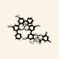 CC(C)(C)c1cc(-c2cc(C(C)(C)C)cc([Si](C)(C)C)c2Op2oc3c(-c4ccccc4)cc(C(C)(C)C)cc3c3cc(C(C)(C)C)cc(-c4ccccc4)c3o2)c(OP2OC(=O)c3cc(Br)cc(Br)c3O2)c([Si](C)(C)C)c1